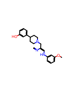 C=N/C(=C\Nc1cccc(OC)c1)CN1CCC(c2cccc(O)c2)CC1